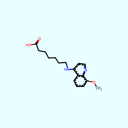 COc1cccc2c(NCCCCCCC(=O)O)ccnc12